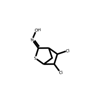 ON=C1SC2CC1C(Cl)C2Cl